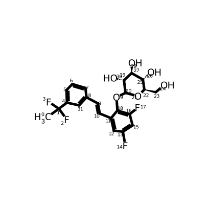 CC(F)(F)c1cccc(/C=C/c2cc(F)cc(F)c2OC2O[C@H](CO)[C@@H](O)[C@H](O)[C@H]2O)c1